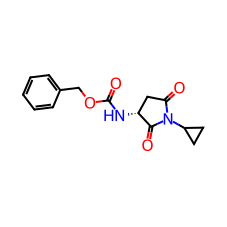 O=C(N[C@@H]1CC(=O)N(C2CC2)C1=O)OCc1ccccc1